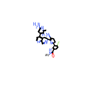 Cc1cc(-c2ccnc3cnc(-c4nc(-c5cc(C(=O)NC(C)C)ccc5F)ccc4N)cc23)cc(N)n1